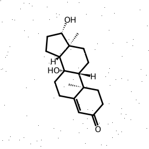 C[C@]12CC[C@H]3[C@@](O)(CCC4=CC(=O)CC[C@@]43C)[C@@H]1CC[C@@H]2O